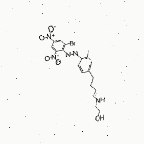 Cc1cc(CCCCNCCO)ccc1N=Nc1c(Br)cc([N+](=O)[O-])cc1[N+](=O)[O-]